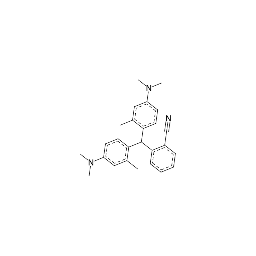 Cc1cc(N(C)C)ccc1C(c1ccc(N(C)C)cc1C)c1ccccc1C#N